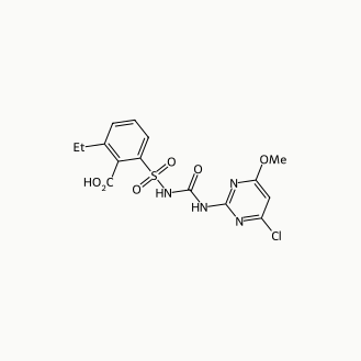 CCc1cccc(S(=O)(=O)NC(=O)Nc2nc(Cl)cc(OC)n2)c1C(=O)O